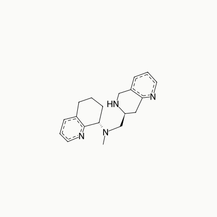 CN(C[C@@H]1Cc2ncccc2CN1)[C@H]1CCCc2cccnc21